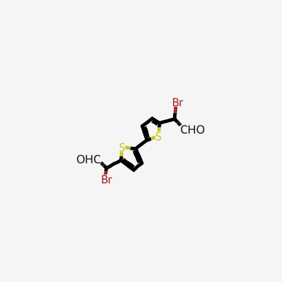 O=CC(Br)c1ccc(-c2ccc(C(Br)C=O)s2)s1